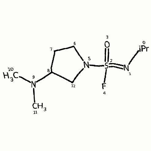 CC(C)N=S(=O)(F)N1CCC(N(C)C)C1